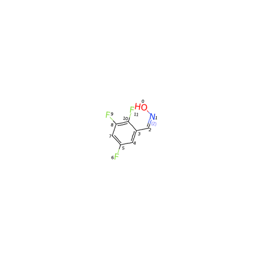 O/N=C\c1cc(F)cc(F)c1F